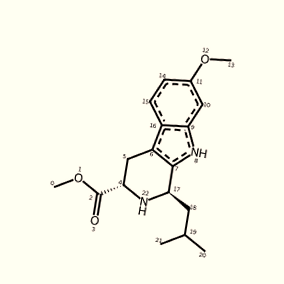 COC(=O)[C@@H]1Cc2c([nH]c3cc(OC)ccc23)[C@@H](CC(C)C)N1